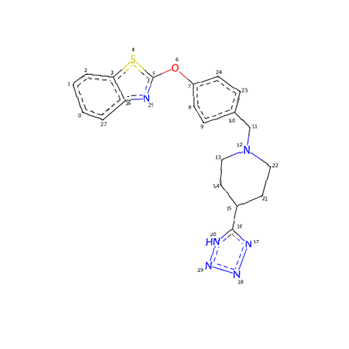 c1ccc2sc(Oc3ccc(CN4CCC(c5nnn[nH]5)CC4)cc3)nc2c1